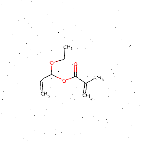 C=CC(OCC)OC(=O)C(=C)C